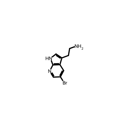 NCCc1c[nH]c2ncc(Br)cc12